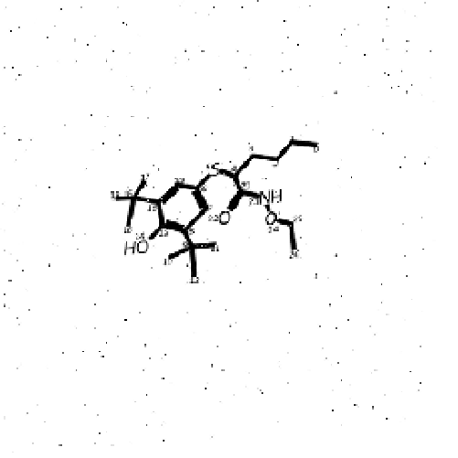 CCCCC(Sc1cc(C(C)(C)C)c(O)c(C(C)(C)C)c1)C(=O)NOCC